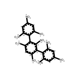 O=[N+]([O-])c1cc([N+](=O)[O-])c(-c2c([N+](=O)[O-])cc([N+](=O)[O-])c(-c3c([N+](=O)[O-])cc([N+](=O)[O-])cc3[N+](=O)[O-])c2[N+](=O)[O-])c([N+](=O)[O-])c1